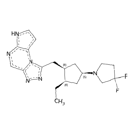 CC[C@@H]1C[C@H](N2CCC(F)(F)C2)C[C@@H]1Cc1nnc2cnc3[nH]ccc3n12